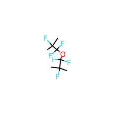 CC(C)(F)C(F)(F)OC(F)(F)C(C)(C)F